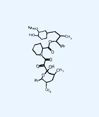 COC1CC(CC(C)C(OC(=O)C2CCCCN2C(=O)C(=O)C2(O)OC(C(C)C)C(C)CC2C)C(C)C)CCC1O